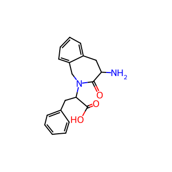 NC1Cc2ccccc2CN(C(Cc2ccccc2)C(=O)O)C1=O